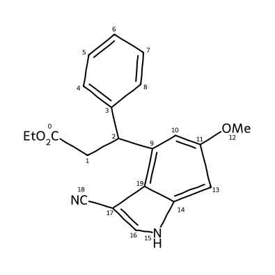 CCOC(=O)CC(c1ccccc1)c1cc(OC)cc2[nH]cc(C#N)c12